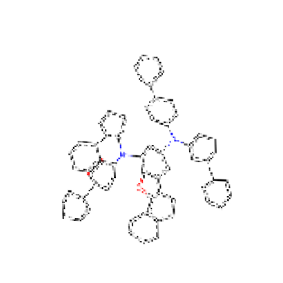 c1ccc(-c2ccc(N(c3cccc(-c4ccccc4)c3)c3cc(N(c4ccc(-c5ccccc5)cc4)c4ccccc4-c4ccccc4)c4oc5c6ccccc6ccc5c4c3)cc2)cc1